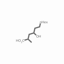 CCCCCCCCC(O)CC(C)C(=O)O